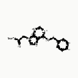 COC(=O)Cn1cnc2c(OCc3ccccc3)ncnc21